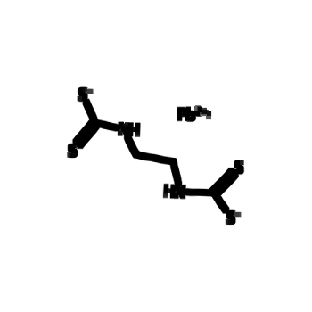 S=C([S-])NCCNC(=S)[S-].[Pb+2]